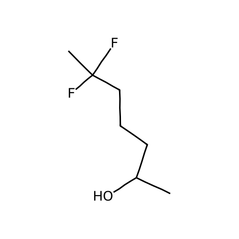 CC(O)CCCC(C)(F)F